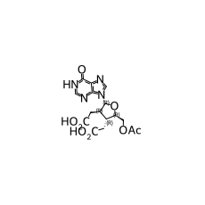 CC(=O)OC[C@@H]1O[C@@H](n2cnc3c(=O)[nH]cnc32)[C@H](CC(=O)O)[C@H]1CC(=O)O